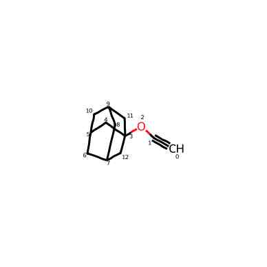 C#COC12CC3CC(CC(C3)C1)C2